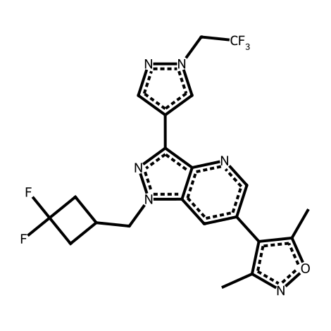 Cc1noc(C)c1-c1cnc2c(-c3cnn(CC(F)(F)F)c3)nn(CC3CC(F)(F)C3)c2c1